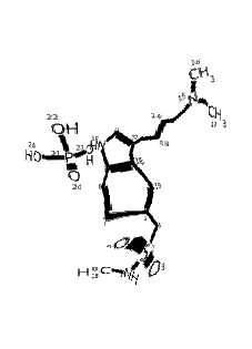 CNS(=O)(=O)Cc1ccc2[nH]cc(CCN(C)C)c2c1.O=P(O)(O)O